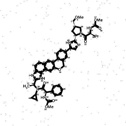 COC[C@H]1C[C@@H](c2ncc(-c3ccc4c(c3)COc3cc5c(ccc6nc([C@H](C)N(C(=O)[C@H](NC(=O)OC)c7ccccc7)C7CC7)[nH]c65)cc3-4)[nH]2)N(C(=O)[C@@H](NC(=O)OC)C(C)C)C1